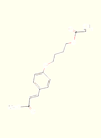 C=CC(=O)OCCCCOc1ccc(/C=C/C(=O)OC)cc1